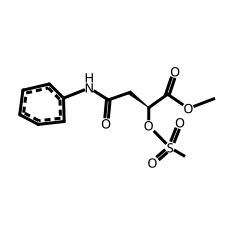 COC(=O)[C@H](CC(=O)Nc1ccccc1)OS(C)(=O)=O